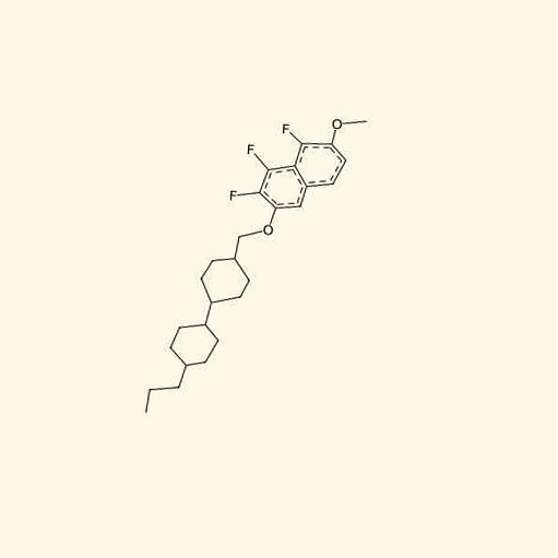 CCCC1CCC(C2CCC(COc3cc4ccc(OC)c(F)c4c(F)c3F)CC2)CC1